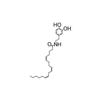 CCCCC/C=C\C/C=C\CC/C=C\CCCC(=O)NCCc1ccc(O)c(O)c1